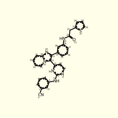 N#Cc1cccc(Nc2nccc(-c3c(-c4cccc(NC(=O)Cc5cccs5)c4)nc4ccccn34)n2)c1